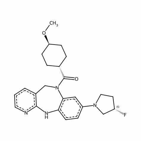 CO[C@H]1CC[C@H](C(=O)N2Cc3cccnc3Nc3ccc(N4CC[C@H](F)C4)cc32)CC1